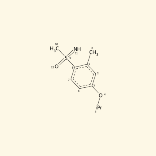 Cc1cc(OC(C)C)ccc1S(C)(=N)=O